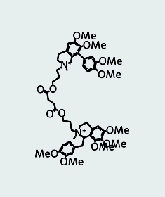 COc1ccc(CC2c3c(cc(OC)c(OC)c3OC)CC[N+]2(C)CCCOC(=O)CCC(=O)OCCC[N+]2(C)CCc3cc(OC)c(OC)c(-c4ccc(OC)c(OC)c4)c3C2)cc1OC